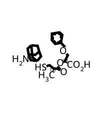 C[C@H](CS)C(=O)O[C@@H](COCc1ccccc1)C(=O)O.NC12CC3CC(CC(C3)C1)C2